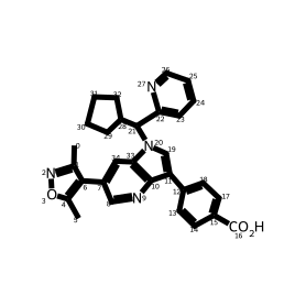 Cc1noc(C)c1-c1cnc2c(-c3ccc(C(=O)O)cc3)cn(C(c3ccccn3)C3CCCC3)c2c1